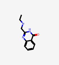 CC[N]Cc1nc2ccccc2c(=O)[nH]1